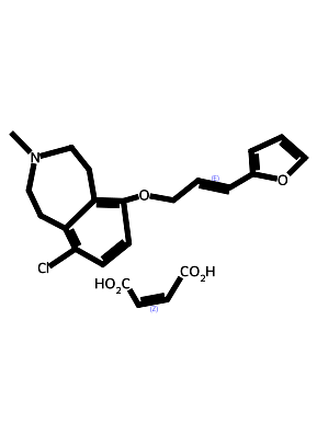 CN1CCc2c(Cl)ccc(OC/C=C/c3ccco3)c2CC1.O=C(O)/C=C\C(=O)O